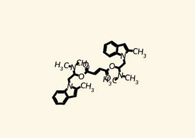 Cc1cc2ccccc2n1CC(OC(=O)/C=C/C(=O)OC(Cn1c(C)cc2ccccc21)N(C)C)N(C)C